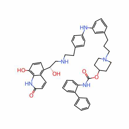 O=C(Nc1ccccc1-c1ccccc1)OC1CCN(CCCc2cccc(Nc3ccc(CCNC[C@H](O)c4ccc(O)c5[nH]c(=O)ccc45)cc3)c2)CC1